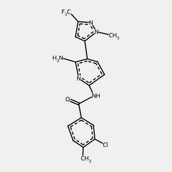 Cc1ccc(C(=O)Nc2ccc(-c3cc(C(F)(F)F)nn3C)c(N)n2)cc1Cl